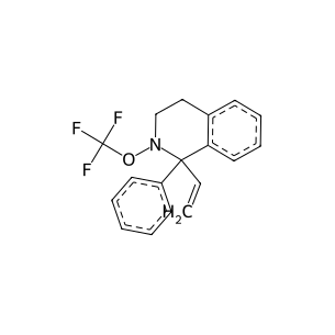 C=CC1(c2ccccc2)c2ccccc2CCN1OC(F)(F)F